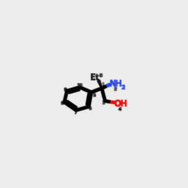 CC[C@@](N)(CO)c1ccccc1